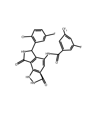 O=C(Nc1cc2c(=O)[nH][nH]c2c2c1C(c1cc(F)ccc1Cl)NC2=O)c1cc(F)cc(C(F)(F)F)c1